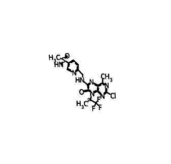 Cc1nc(Cl)nc2c1nc(NCc1ccc(S(C)(=N)=O)cn1)c(=O)n2[C@@H](C)C(F)(F)F